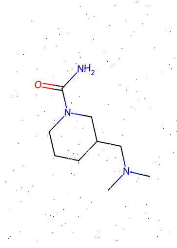 CN(C)CC1[CH]CCN(C(N)=O)C1